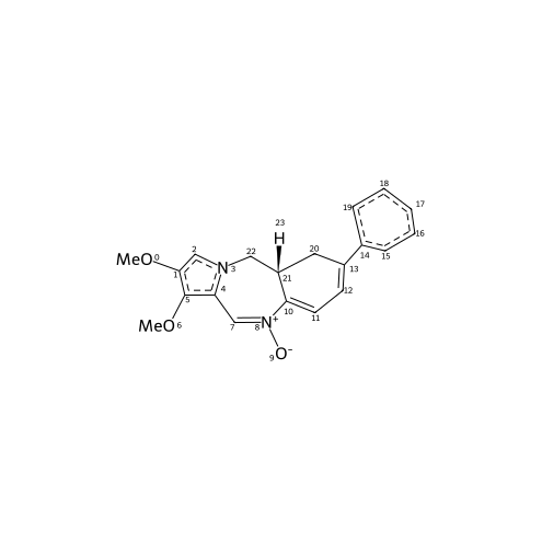 COc1cn2c(c1OC)C=[N+]([O-])C1=CC=C(c3ccccc3)C[C@H]1C2